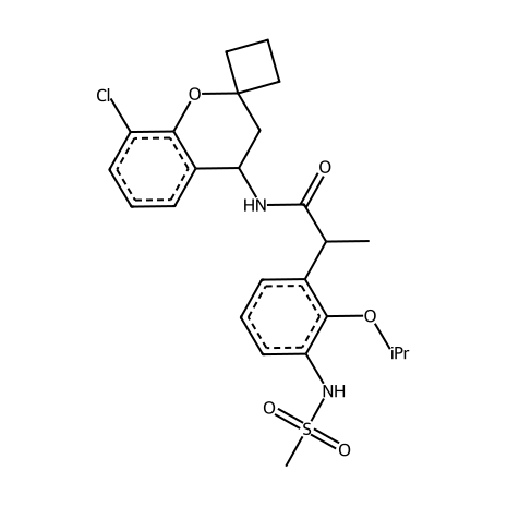 CC(C)Oc1c(NS(C)(=O)=O)cccc1C(C)C(=O)NC1CC2(CCC2)Oc2c(Cl)cccc21